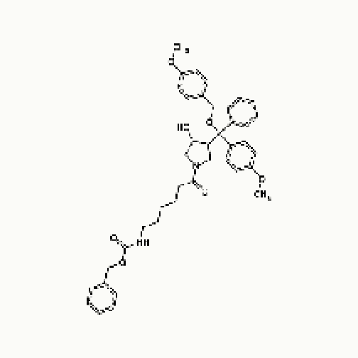 COc1ccc(COC(c2ccccc2)(c2ccc(OC)cc2)C2CN(C(=O)CCCCCNC(=O)OCc3ccccc3)CC2O)cc1